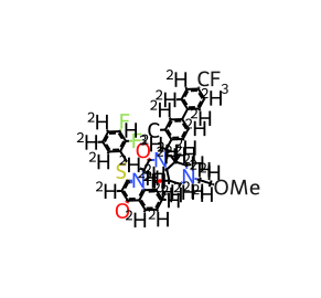 [2H]c1c([2H])c(F)c(F)c(CSc2c([2H])c(=O)c3c([2H])c([2H])c([2H])c([2H])c3n2C([2H])([2H])C(=O)N(C([2H])([2H])c2c([2H])c([2H])c(-c3c([2H])c([2H])c(C(F)(F)F)c([2H])c3[2H])c([2H])c2C)C2([2H])C([2H])([2H])C([2H])([2H])N(C([2H])([2H])C([2H])([2H])OC)C([2H])([2H])C2([2H])[2H])c1[2H]